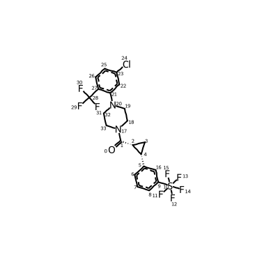 O=C([C@@H]1C[C@@H]1c1cccc(S(F)(F)(F)(F)F)c1)N1CCN(c2cc(Cl)ccc2C(F)(F)F)CC1